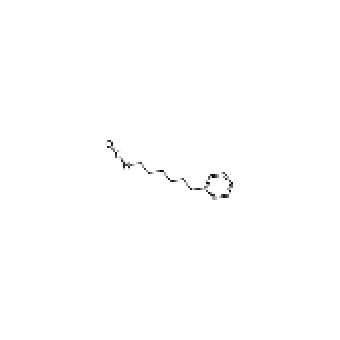 O=C=NCCCCCCc1ccccc1